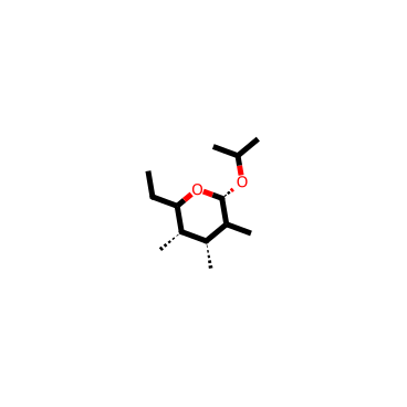 CCC1O[C@H](OC(C)C)C(C)[C@H](C)[C@@H]1C